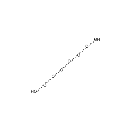 OCCCCOCCCCOCCCCOCCCCOCCCCOCCCCOCCCCO